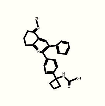 O=C(O)NC1(c2ccc(-c3nc4c(cc3-c3ccccc3)/C(=N/O)CCC4)cc2)CCC1